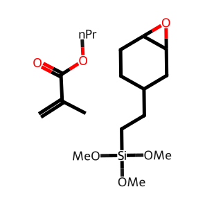 CO[Si](CCC1CCC2OC2C1)(OC)OC.[CH2]CCOC(=O)C(=C)C